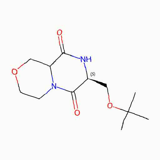 CC(C)(C)OC[C@@H]1NC(=O)C2COCCN2C1=O